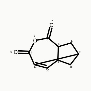 O=C1OC(=O)C2CC3CC2C=C13